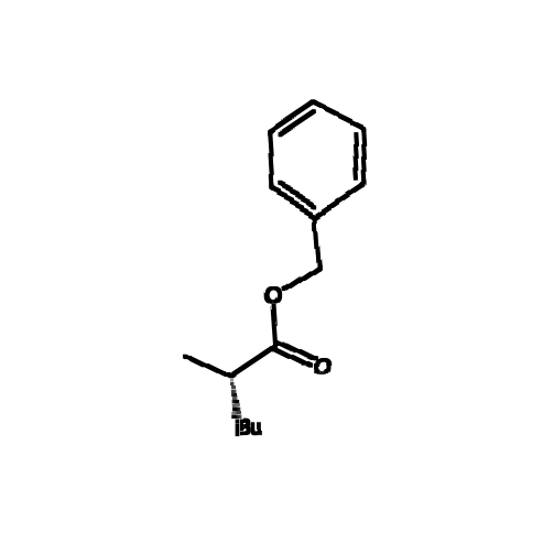 CCC(C)[C@H](C)C(=O)OCc1ccccc1